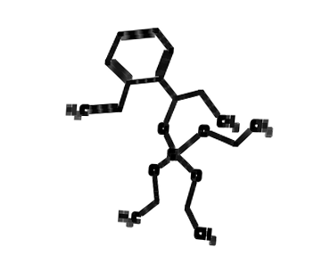 C=Cc1ccccc1C(CC)O[Si](OCC)(OCC)OCC